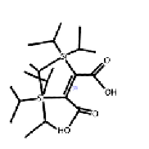 CC(C)[Si](/C(C(=O)O)=C(/C(=O)O)[Si](C(C)C)(C(C)C)C(C)C)(C(C)C)C(C)C